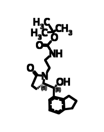 CC(C)(C)OC(=O)NCCN1C(=O)CC[C@H]1[C@H](O)c1cccc2c1CCC2